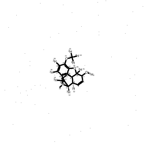 [2H]OC1C=C[C@@H]2[C@@]34CCN(C)[C@]2([2H])C([2H])([2H])c2c([2H])c([2H])c(OC([2H])([2H])[2H])c(c23)OC14[2H]